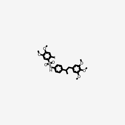 COc1cc(I)c(S(=O)(=O)Nc2ccc(C(C)Cc3cc(OC)c(OC)c(OC)c3)cc2)cc1OC